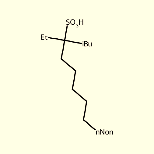 CCCCCCCCCCCCCCC(CC)(C(C)CC)S(=O)(=O)O